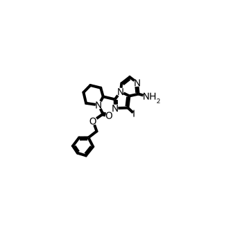 Nc1nccn2c(C3CCCCN3C(=O)OCc3ccccc3)nc(I)c12